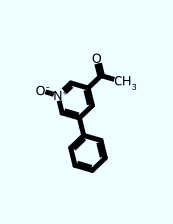 CC(=O)c1cc(-c2ccccc2)c[n+]([O-])c1